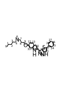 CCCCCN(C)CCCOc1ccc2cc(-c3n[nH]c4cc(-c5ccccc5)sc34)[nH]c2c1